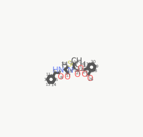 CC1(C)S[C@@H]2[C@H](NC(=O)Cc3ccccc3)C(=O)N2[C@H]1C(=O)OC1OC(=O)c2ccccc21